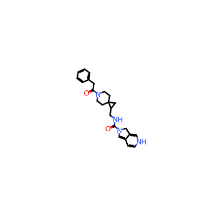 O=C(NCC1CC12CCN(C(=O)Cc1ccccc1)CC2)N1C=C2C=CNC=C2C1